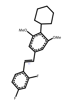 COc1cc(/C=C/c2ccc(F)cc2F)cc(OC)c1C1CCCCC1